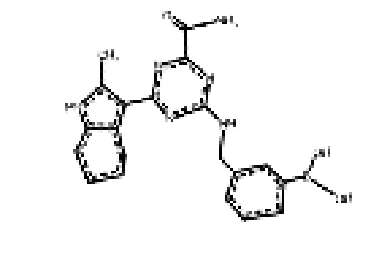 Cc1[nH]c2ccccc2c1-c1nc(NCc2cccc(B(O)O)c2)nc(C(N)=O)n1